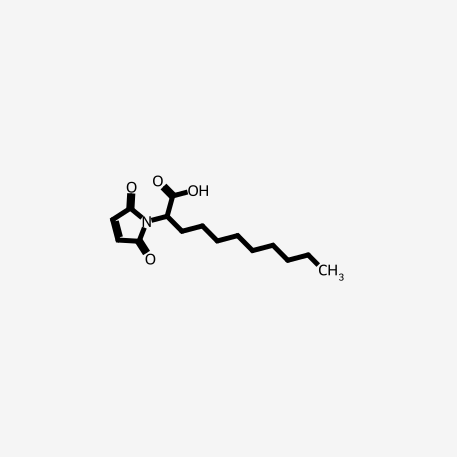 CCCCCCCCCC(C(=O)O)N1C(=O)C=CC1=O